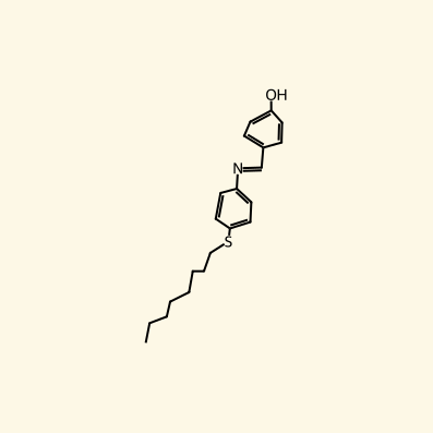 CCCCCCCCSc1ccc(N=Cc2ccc(O)cc2)cc1